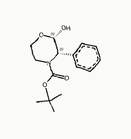 CC(C)(C)OC(=O)N1CCO[C@H](O)[C@@H]1c1ccccc1